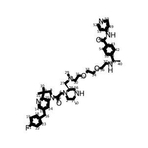 C[C@@H]1CN(CC(=O)N2CC(C)(C)c3ncc(Cc4ccc(F)cc4)cc32)[C@@H](CN(C)CCOCCOCCN[C@H](C)c2ccc(C(=O)Nc3ccncc3)cc2)CN1